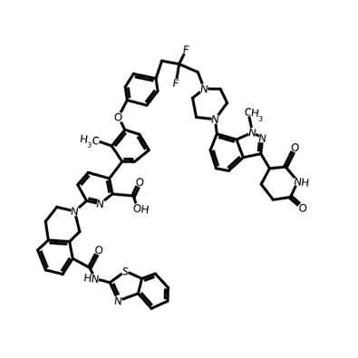 Cc1c(Oc2ccc(CC(F)(F)CN3CCN(c4cccc5c(C6CCC(=O)NC6=O)nn(C)c45)CC3)cc2)cccc1-c1ccc(N2CCc3cccc(C(=O)Nc4nc5ccccc5s4)c3C2)nc1C(=O)O